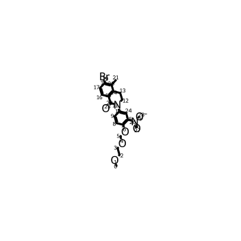 COCCOCOc1ccc(N2CCc3c(ccc(Br)c3C)C2=O)cc1[N+](=O)[O-]